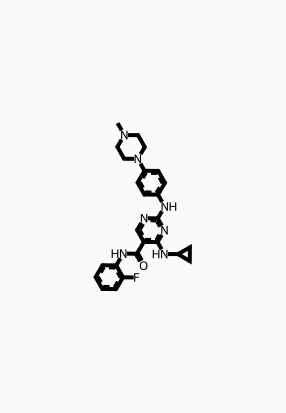 CN1CCN(c2ccc(Nc3ncc(C(=O)Nc4ccccc4F)c(NC4CC4)n3)cc2)CC1